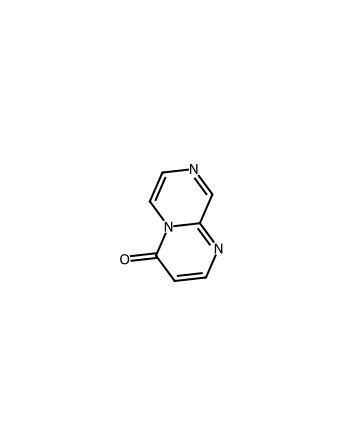 O=c1ccnc2cnccn12